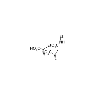 C=C(C)C(=O)O.C=C(C)C(=O)O.CCNC(=O)OCC